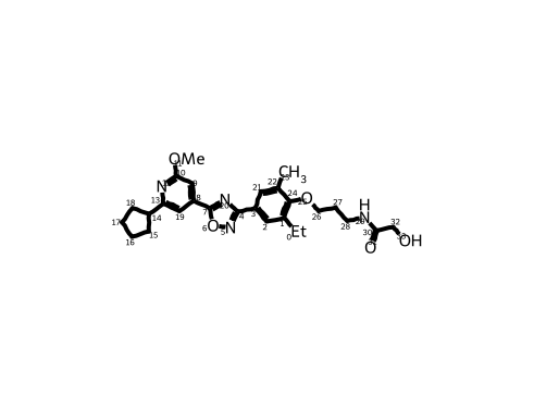 CCc1cc(-c2noc(-c3cc(OC)nc(C4CCCC4)c3)n2)cc(C)c1OCCCNC(=O)CO